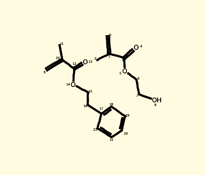 C=C(C)C(=O)OCCO.C=C(C)C(=O)OCCc1ccccc1